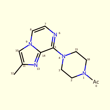 CC(=O)N1CCN(c2nccn3cc(C)nc23)CC1